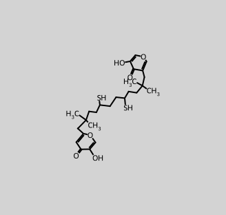 CC(C)(CCC(S)CCC(S)CCC(C)(C)Cc1cocc(O)c1=O)Cc1cc(=O)c(O)co1